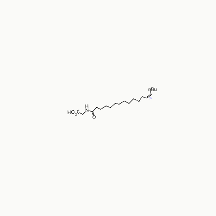 CCCC/C=C\CCCCCCCCCCCC(=O)NCC(=O)O